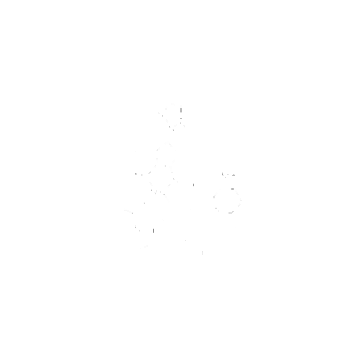 COc1ccc(F)cc1[C@H](Cn1c(=O)n(C(C)(C)C(=O)N2CC=CC2)c(=O)c2c(C)c(-n3nccn3)sc21)OC[C@@H](C)O